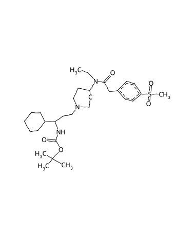 CCN(C(=O)Cc1ccc(S(C)(=O)=O)cc1)C1CCN(CCC(NC(=O)OC(C)(C)C)C2CCCCC2)CC1